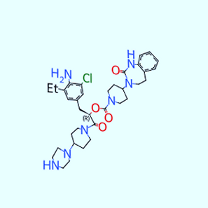 CCc1cc(C[C@@H](OC(=O)N2CCC(N3CCc4ccccc4NC3=O)CC2)C(=O)N2CCC(N3CCNCC3)CC2)cc(Cl)c1N